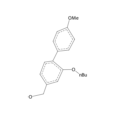 CCCCOc1cc(C[O])ccc1-c1ccc(OC)cc1